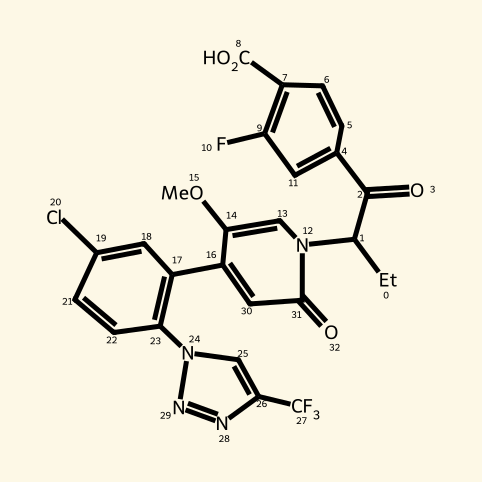 CCC(C(=O)c1ccc(C(=O)O)c(F)c1)n1cc(OC)c(-c2cc(Cl)ccc2-n2cc(C(F)(F)F)nn2)cc1=O